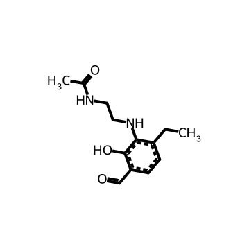 CCc1ccc(C=O)c(O)c1NCCNC(C)=O